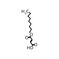 CCCCCCCCCOC(=O)C=CC(=O)O